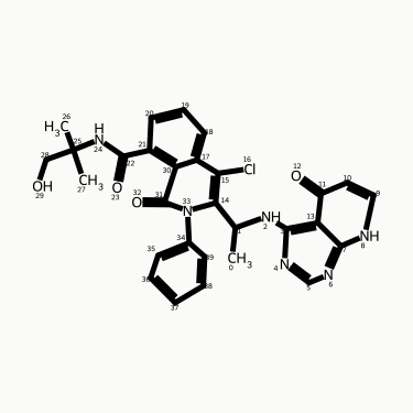 CC(Nc1ncnc2[nH]ccc(=O)c12)c1c(Cl)c2cccc(C(=O)NC(C)(C)CO)c2c(=O)n1-c1ccccc1